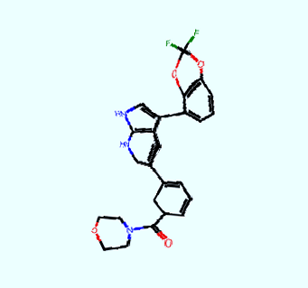 O=C(C1C=CC=C(C2=Cc3c(-c4cccc5c4OC(F)(F)O5)c[nH]c3NC2)C1)N1CCOCC1